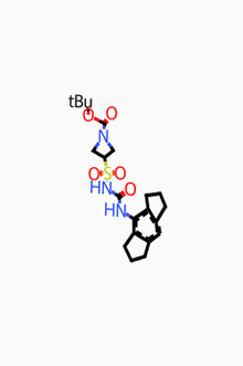 CC(C)(C)OC(=O)N1CC(S(=O)(=O)NC(=O)Nc2c3c(cc4c2CCC4)CCC3)C1